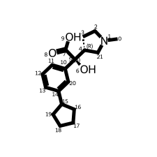 CN1CC[C@@H]([C@@](O)(C(=O)O)c2cccc(C3CCCC3)c2)C1